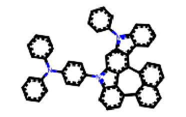 c1ccc(N(c2ccccc2)c2ccc(-n3c4cccc5c4c4c(c6c7ccccc7n(-c7ccccc7)c6cc43)-c3cccc4cccc-5c34)cc2)cc1